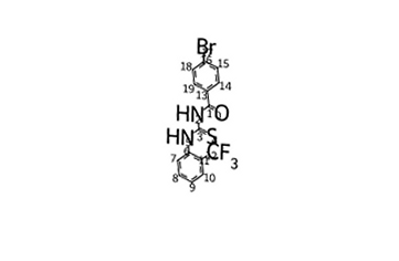 O=C(NC(=S)Nc1ccccc1C(F)(F)F)c1ccc(Br)cc1